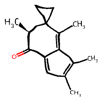 CC1=C(C)C2=C(C)C3(CC3)[C@H](C)C(=O)C2=C1